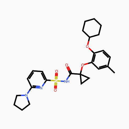 Cc1ccc(OC2CCCCC2)c(OC2(C(=O)NS(=O)(=O)c3cccc(N4CCCC4)n3)CC2)c1